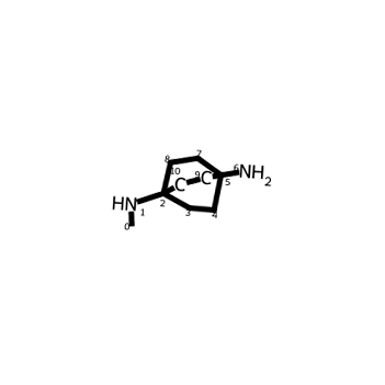 CNC12CCC(N)(CC1)CC2